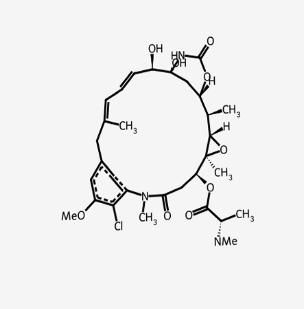 CN[C@@H](C)C(=O)O[C@H]1CC(=O)N(C)c2cc(cc(OC)c2Cl)C/C(C)=C/C=C/[C@@H](O)[C@@]2(O)C[C@H](OC(=O)N2)[C@@H](C)[C@@H]2O[C@@]12C